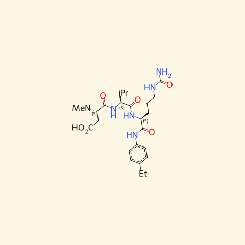 CCc1ccc(NC(=O)[C@H](CCCNC(N)=O)NC(=O)[C@@H](NC(=O)[C@H](CC(=O)O)NC)C(C)C)cc1